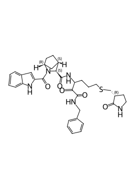 O=C(NCc1ccccc1)C(=O)C(CCCSC[C@@H]1CCNC1=O)NC(=O)[C@@H]1[C@H]2CC[C@H](C2)N1C(=O)c1cc2ccccc2[nH]1